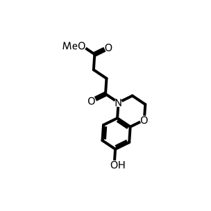 COC(=O)CCC(=O)N1CCOc2cc(O)ccc21